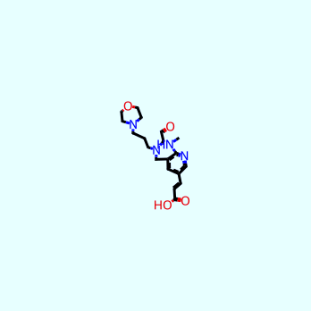 CNc1ncc(/C=C/C(=O)O)cc1CN(CC=O)CCCN1CCOCC1